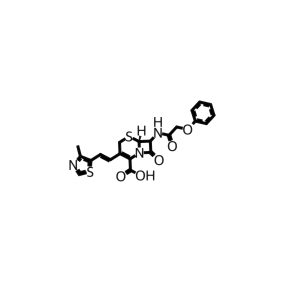 Cc1ncsc1/C=C/C1=C(C(=O)O)N2C(=O)C(NC(=O)COc3ccccc3)[C@H]2SC1